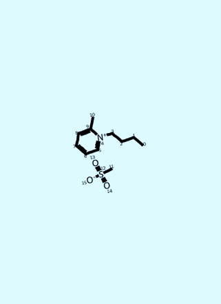 CCCC[n+]1ccccc1C.CS(=O)(=O)[O-]